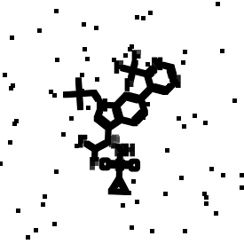 CC(C)(C)Cn1cc([C@H](NS(=O)(=O)C2CC2)C(F)F)c2ccc(-c3cncnc3C(F)(F)F)cc21